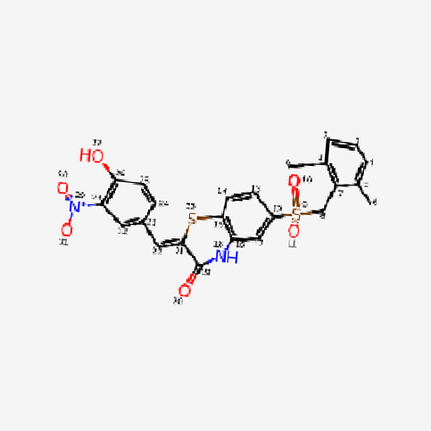 Cc1cccc(C)c1CS(=O)(=O)c1ccc2c(c1)NC(=O)C(=Cc1ccc(O)c([N+](=O)[O-])c1)S2